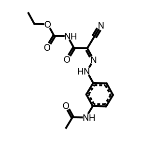 CCOC(=O)NC(=O)/C(C#N)=N\Nc1cccc(NC(C)=O)c1